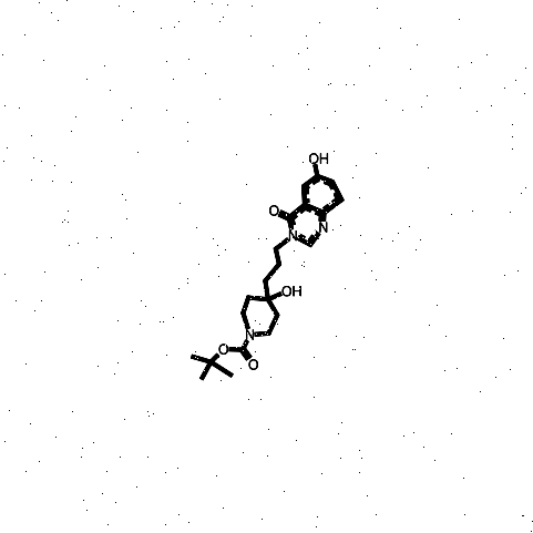 CC(C)(C)OC(=O)N1CCC(O)(CCCn2cnc3ccc(O)cc3c2=O)CC1